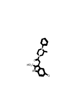 CC1CN(C(=O)Cc2c(C(=O)O)[nH]c3ccc(Cl)cc23)CCN1c1ccccc1